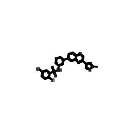 Cn1cc(-c2cnc3ccc(-c4cncc(NS(=O)(=O)c5cc(Cl)ccc5Cl)c4)cc3n2)cn1